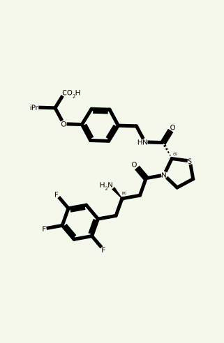 CC(C)C(Oc1ccc(CNC(=O)[C@@H]2SCCN2C(=O)C[C@H](N)Cc2cc(F)c(F)cc2F)cc1)C(=O)O